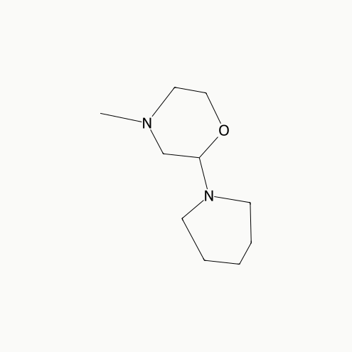 CN1CCOC(N2CCCCC2)C1